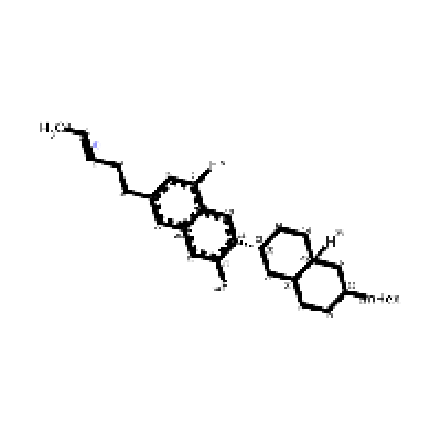 C/C=C/CCc1cc(F)c2cc([C@@H]3CC[C@@H]4CC(CCCCCC)CCC4C3)c(F)cc2c1